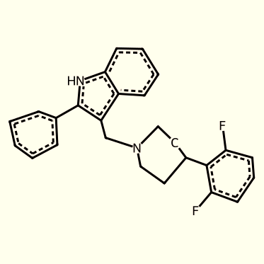 Fc1cccc(F)c1C1CCN(Cc2c(-c3ccccc3)[nH]c3ccccc23)CC1